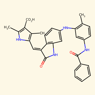 Cc1ccc(NC(=O)c2ccccc2)cc1Nc1ccc2c(c1)NC(=O)C2=Cc1[nH]c(C)c(C(=O)O)c1C